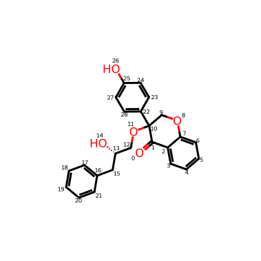 O=C1c2ccccc2OCC1(OC[C@@H](O)Cc1ccccc1)c1ccc(O)cc1